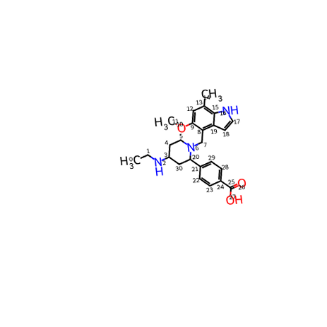 CCNC1CCN(Cc2c(OC)cc(C)c3[nH]ccc23)C(c2ccc(C(=O)O)cc2)C1